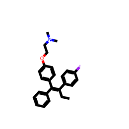 CC/C(=C(\c1ccccc1)c1ccc(OCCN(C)C)cc1)c1ccc(I)cc1